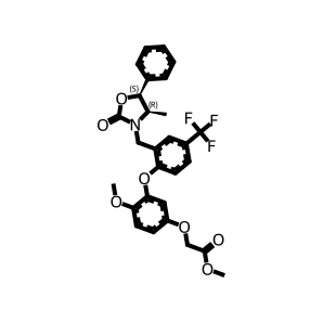 COC(=O)COc1ccc(OC)c(Oc2ccc(C(F)(F)F)cc2CN2C(=O)O[C@@H](c3ccccc3)[C@H]2C)c1